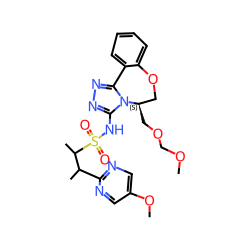 COCOC[C@@H]1COc2ccccc2-c2nnc(NS(=O)(=O)C(C)C(C)c3ncc(OC)cn3)n21